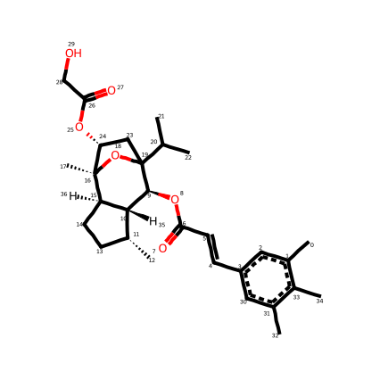 Cc1cc(/C=C/C(=O)O[C@H]2[C@@H]3[C@H](C)CC[C@H]3[C@]3(C)OC2(C(C)C)C[C@H]3OC(=O)CO)cc(C)c1C